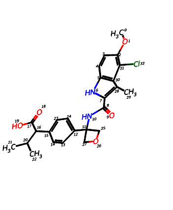 COc1ccc2[nH]c(C(=O)NC3(c4ccc(C(C(=O)O)C(C)C)cc4)COC3)c(C)c2c1Cl